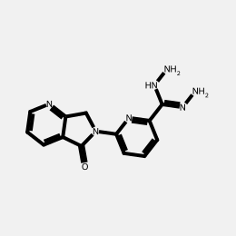 N/N=C(\NN)c1cccc(N2Cc3ncccc3C2=O)n1